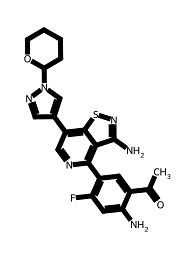 CC(=O)c1cc(-c2ncc(-c3cnn(C4CCCCO4)c3)c3snc(N)c23)c(F)cc1N